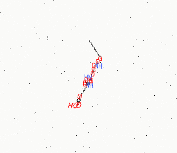 CCCCCCCCCCCCCC[C](C)OCCOCCNC(=O)COCCOCCNC(=O)CC[C@H](NC(=O)CCCCCCCOc1ccc(C(=O)O)cc1)C(=O)O